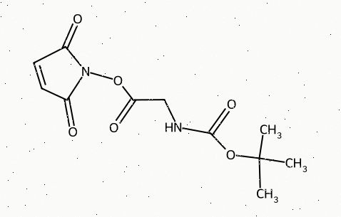 CC(C)(C)OC(=O)NCC(=O)ON1C(=O)C=CC1=O